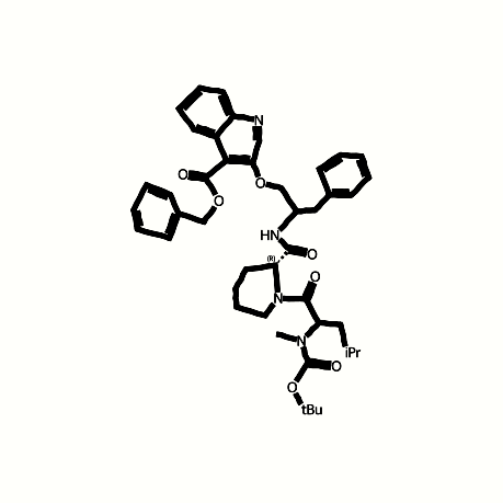 CC(C)CC(C(=O)N1CCCC[C@@H]1C(=O)NC(COc1cnc2ccccc2c1C(=O)OCc1ccccc1)Cc1ccccc1)N(C)C(=O)OC(C)(C)C